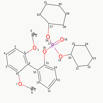 CC(C)Oc1cccc(OC(C)C)c1-c1ccccc1OP(=O)(OC1CCCCC1)OC1CCCCC1